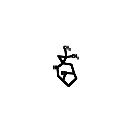 CC1(C)CC12CC1CCC(CN2)N1